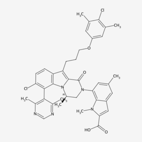 Cc1cc(N2C[C@@H](C)n3c(c(CCCOc4cc(C)c(Cl)c(C)c4)c4ccc(Cl)c(-c5c(C)ncnc5C)c43)C2=O)c2c(c1)cc(C(=O)O)n2C